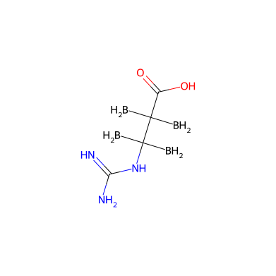 BC(B)(NC(=N)N)C(B)(B)C(=O)O